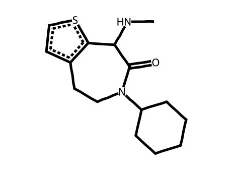 CNC1C(=O)N(C2CCCCC2)CCc2ccsc21